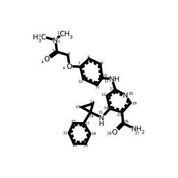 CN(C)C(=O)COc1ccc(Nc2cc(NC3(c4ccccc4)CC3)c(C(N)=O)cn2)cc1